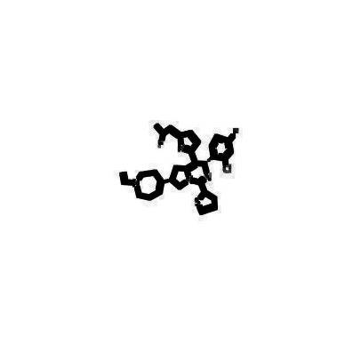 C=CN1CCC=C([C@H]2CC3=C(C4=N/C(=C\C(C)F)C=C4)[C@H](c4ccc(F)cc4Cl)N=C(C4CC=CS4)N3C2)CC1